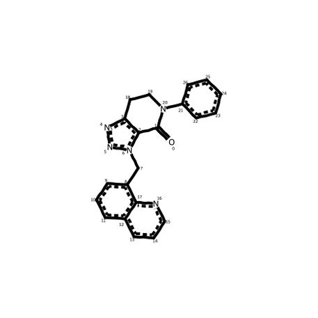 O=C1c2c(nnn2Cc2cccc3cccnc23)CCN1c1ccccc1